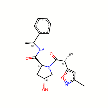 Cc1cc([C@H](C(=O)N2C[C@H](O)C[C@H]2C(=O)N[C@@H](C)c2ccccc2)C(C)C)on1